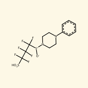 O=S(=O)(O)C(F)(F)C(F)(F)C(F)(F)[S+]([O-])N1CCN(c2ccccc2)CC1